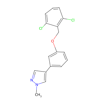 Cn1cc(-c2cccc(OCc3c(Cl)cccc3Cl)c2)cn1